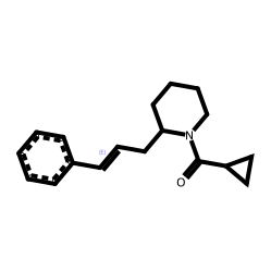 O=C(C1CC1)N1CCCCC1C/C=C/c1ccccc1